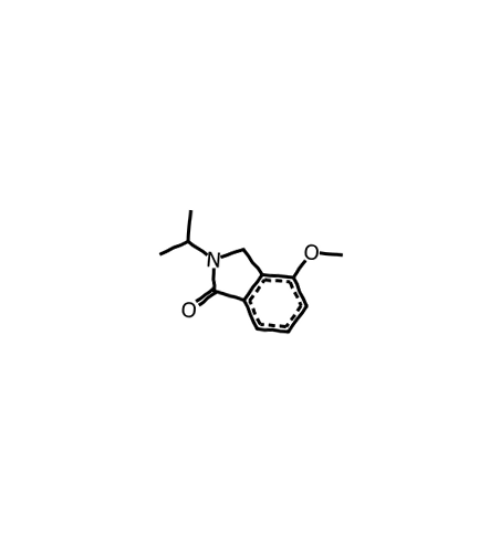 COc1cccc2c1CN(C(C)C)C2=O